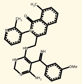 COc1cccc(C(=N)C2=C(NCc3cc4cccc(C)c4c(=O)n3-c3cccnc3C)NCN=C2N)c1